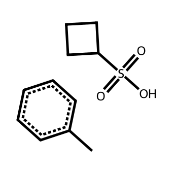 Cc1ccccc1.O=S(=O)(O)C1CCC1